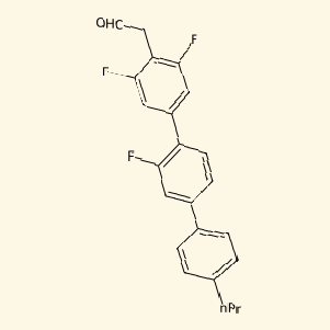 CCCc1ccc(-c2ccc(-c3cc(F)c(CC=O)c(F)c3)c(F)c2)cc1